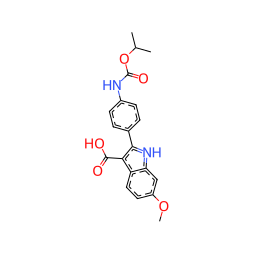 COc1ccc2c(C(=O)O)c(-c3ccc(NC(=O)OC(C)C)cc3)[nH]c2c1